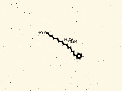 O=C(O)CCCCCCCCCCCCCCc1ccccc1.[NaH].[SeH2]